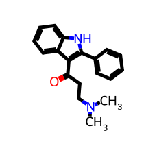 CN(C)CCC(=O)c1c(-c2ccccc2)[nH]c2ccccc12